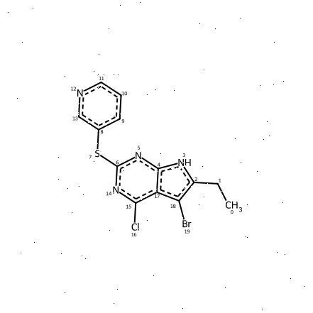 CCc1[nH]c2nc(Sc3cccnc3)nc(Cl)c2c1Br